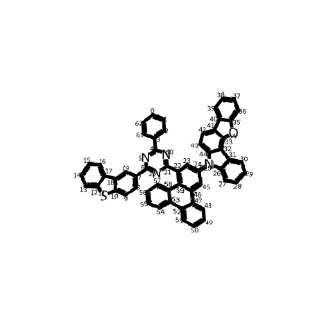 c1ccc(-c2nc(-c3ccc4sc5ccccc5c4c3)nc(-c3cc(-n4c5ccccc5c5c6oc7ccccc7c6ccc54)cc4c5ccccc5c5ccccc5c34)n2)cc1